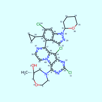 C[C@@]1(O)COCCN(c2nc(Cl)nc3c(Cl)c4c(-c5c(C6CC6)c(Cl)cc6c5cnn6C5CCCCO5)nccn4c23)C1